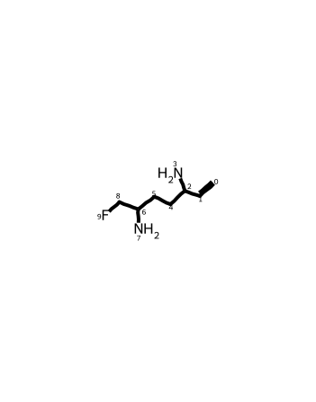 C=CC(N)CCC(N)CF